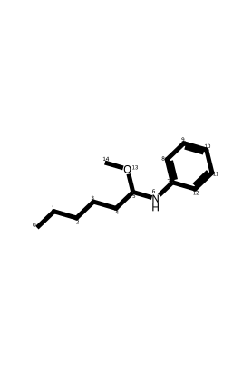 CCCCCC(Nc1ccccc1)OC